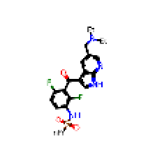 CCCS(=O)(=O)Nc1ccc(F)c(C(=O)c2c[nH]c3ncc(CN(CC)CC)cc23)c1F